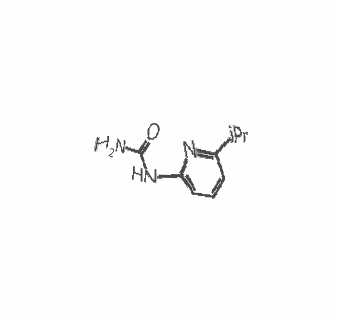 CC(C)c1cccc(NC(N)=O)n1